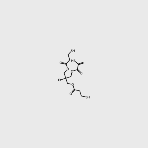 C=C(S)C(=O)OCC(CC)(COC(=O)CCS)COC(=O)CCS